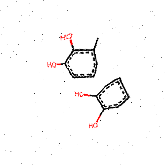 Cc1cccc(O)c1O.Oc1ccccc1O